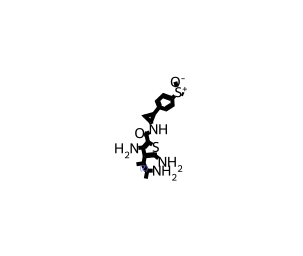 C/C(N)=C(\C)c1c(N)sc(C(=O)NC2CC2c2ccc([S+](C)[O-])cc2)c1N